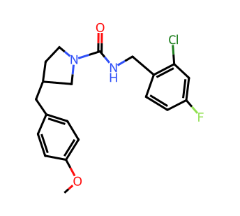 COc1ccc(CC2CCN(C(=O)NCc3ccc(F)cc3Cl)C2)cc1